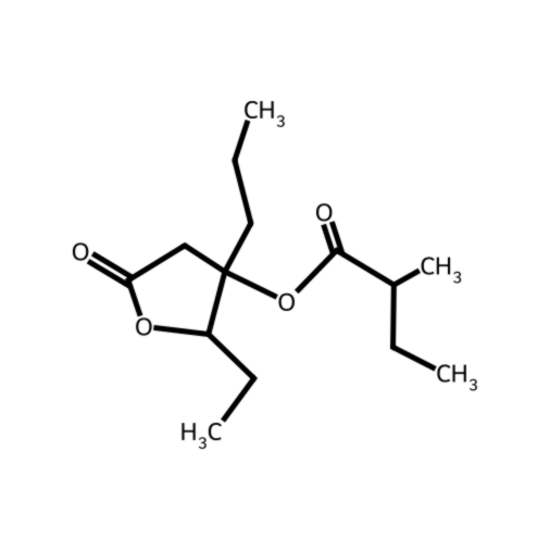 CCCC1(OC(=O)C(C)CC)CC(=O)OC1CC